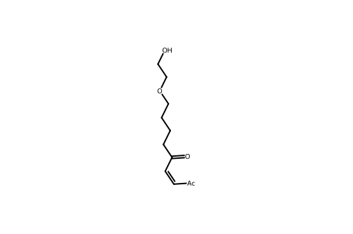 CC(=O)/C=C\C(=O)CCCCOCCO